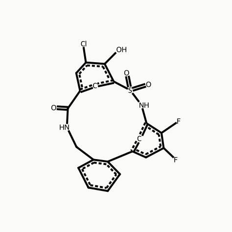 O=C1NCc2ccccc2-c2cc(F)c(F)c(c2)NS(=O)(=O)c2cc1cc(Cl)c2O